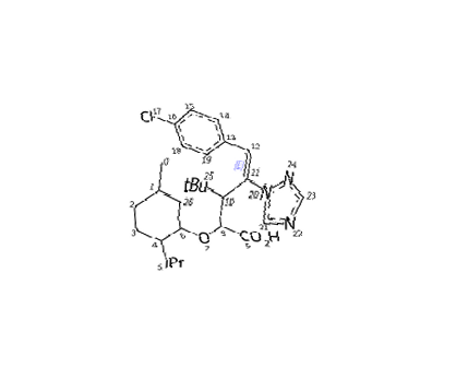 CC1CCC(C(C)C)C(OC(C(=O)O)C(/C(=C\c2ccc(Cl)cc2)n2cncn2)C(C)(C)C)C1